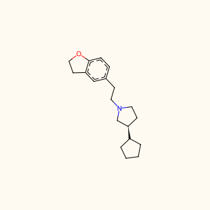 c1cc2c(cc1CCN1CC[C@@H](C3CCCC3)C1)CCO2